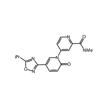 CNC(=O)c1cc(-n2cc(-c3noc(C(C)C)n3)ccc2=O)ccn1